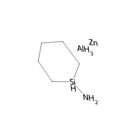 N[SiH]1CCCCC1.[AlH3].[Zn]